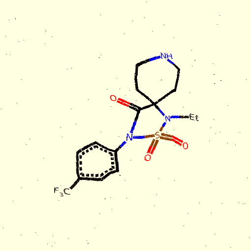 CCN1C2(CCNCC2)C(=O)N(c2ccc(C(F)(F)F)cc2)S1(=O)=O